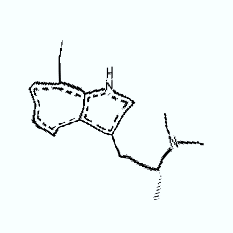 C[C@H](Cc1c[nH]c2c(I)cccc12)N(C)C